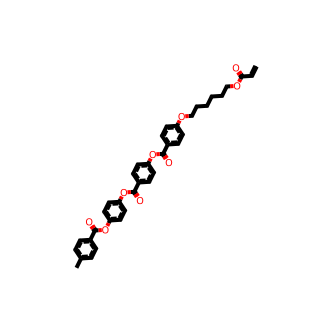 C=CC(=O)OCCCCCCOc1ccc(C(=O)Oc2ccc(C(=O)Oc3ccc(OC(=O)c4ccc(C)cc4)cc3)cc2)cc1